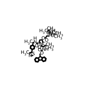 Cc1ncsc1-c1ccc([C@H](C)NC(=O)[C@@H]2C[C@@H](OC(=O)CCP(=O)(OC(C)(C)C)OC(C)(C)C)CN2C(=O)[C@@H](NC(=O)OCC2c3ccccc3-c3ccccc32)C(C)(C)C)cc1